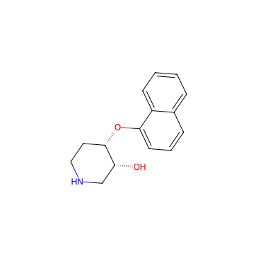 O[C@@H]1CNCC[C@@H]1Oc1cccc2ccccc12